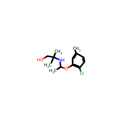 Cc1ccc(Cl)c(OC(C)NC(C)(C)CO)c1